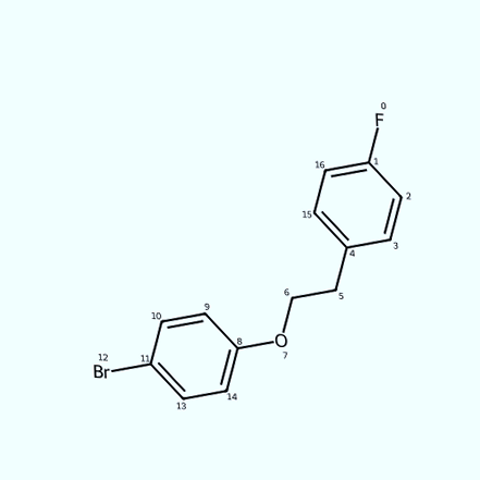 Fc1ccc(CCOc2ccc(Br)cc2)cc1